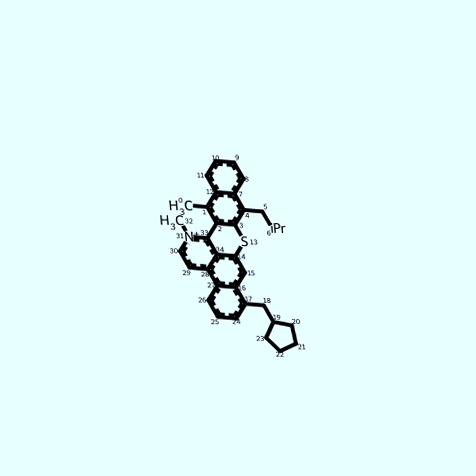 Cc1c2c(c(CC(C)C)c3ccccc13)Sc1cc3c(CC4CCCC4)cccc3c3cc[n+](C)c-2c13